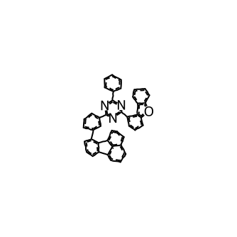 c1ccc(-c2nc(-c3cccc(-c4cccc5c4-c4cccc6cccc-5c46)c3)nc(-c3cccc4oc5ccccc5c34)n2)cc1